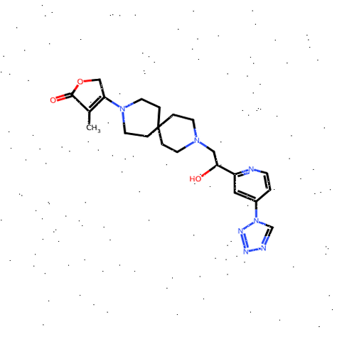 CC1=C(N2CCC3(CCN(CC(O)c4cc(-n5cnnn5)ccn4)CC3)CC2)COC1=O